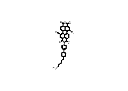 [C-]#[N+]c1cc2c3c(ccc4c5c(C#N)cc6c7c(ccc(c1c34)c75)C(=O)N(c1ccc(-c3ccc(CCCCCC)cc3)cc1)C6=O)C(=O)OC2=O